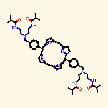 CC(C)C(=O)NCCN(CCNC(=O)C(C)C)Cc1ccc(-c2c3nc(cc4ccc([nH]4)c(-c4ccc(CN(CCNC(=O)C(C)C)CCNC(=O)C(C)C)cc4)c4nc(cc5ccc2[nH]5)C=C4)C=C3)cc1